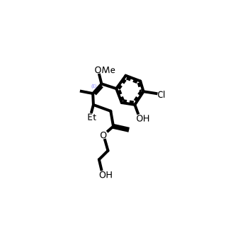 C=C(CC(CC)/C(C)=C(/OC)c1ccc(Cl)c(O)c1)OCCO